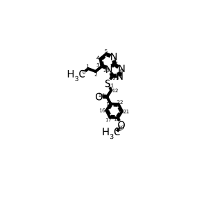 CCCc1ccnc2nnc(SCC(=O)c3ccc(OC)cc3)n12